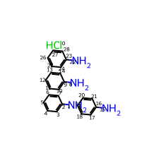 Cl.Nc1ccccc1.Nc1ccccc1.Nc1ccccc1.Nc1ccccc1